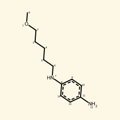 COCCCCCNc1ccc(N)cc1